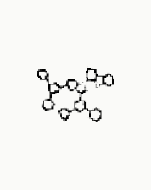 c1ccc(-c2cc(-c3ccccc3)cc(-c3ccc4c(c3)c(-c3cc(-c5ccccc5)cc(-c5ccccc5)c3)cn4-c3cccc4c3oc3ccccc34)c2)cc1